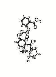 COC(=O)c1ccccc1OC(=O)Oc1c2n(ccc1=O)NC1C(C)OCCN1C2=O